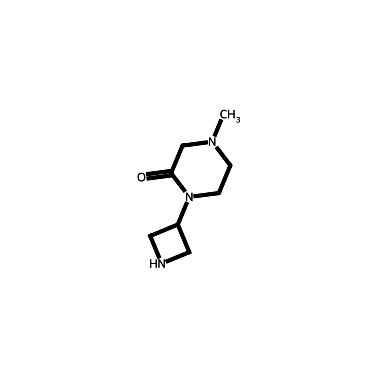 CN1CCN(C2CNC2)C(=O)C1